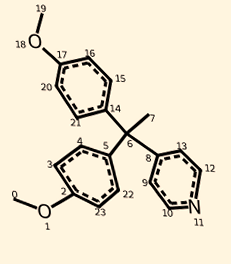 COc1ccc(C(C)(c2ccncc2)c2ccc(OC)cc2)cc1